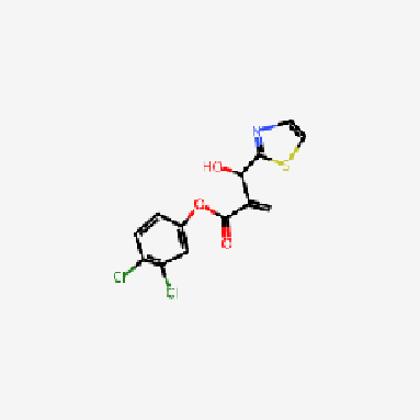 C=C(C(=O)Oc1ccc(Cl)c(Cl)c1)C(O)c1nccs1